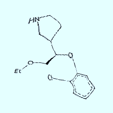 CCOC[C@H](Oc1ccccc1Cl)C1CCNC1